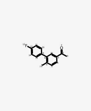 CC(=O)c1ccc(I)c(-c2ccc(F)cc2)c1